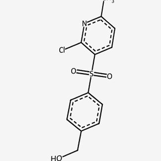 Cc1ccc(S(=O)(=O)c2ccc(CO)cc2)c(Cl)n1